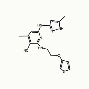 Cc1cc(Nc2cc(C)c(C#N)c(NCCOc3ccsc3)n2)n[nH]1